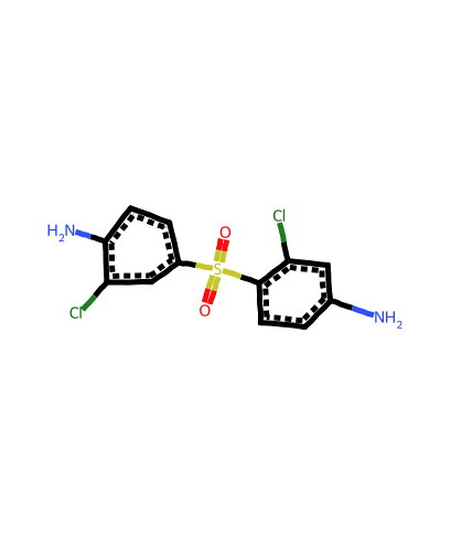 Nc1ccc(S(=O)(=O)c2ccc(N)c(Cl)c2)c(Cl)c1